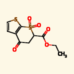 CCOC(=O)C1CC(=O)c2ccsc2S1(=O)=O